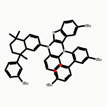 Cc1ccc2c(c1)N(c1ccc(C(C)(C)C)cc1-c1ccc(C(C)(C)C)cc1)c1c(sc3ccc(C(C)(C)C)cc13)B2C1=CC2C(C=C1)C(C)(C)CCC2(C)c1cccc(C(C)(C)C)c1